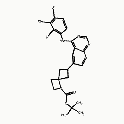 CC(C)(C)OC(=O)N1CCC12CC(c1ccc3ncnc(Nc4ccc(F)c(Cl)c4F)c3c1)C2